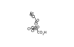 CCOc1ccc(CCC(=O)N2CCC([C@H](C(=O)NCCC(=O)O)c3ccc(Cl)c(Cl)c3)CC2)cc1